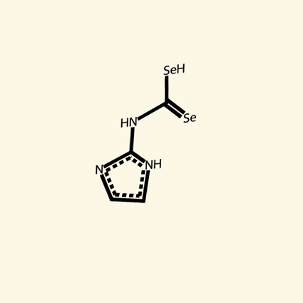 [Se]=C([SeH])Nc1ncc[nH]1